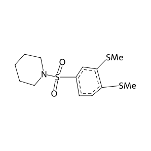 CSc1ccc(S(=O)(=O)N2CCCCC2)cc1SC